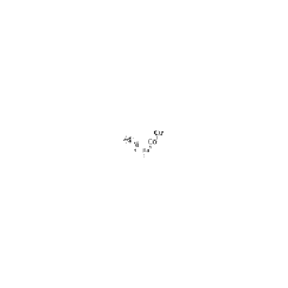 [Ag].[Co].[Cu].[Fe].[Ni]